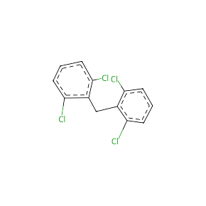 Clc1cccc(Cl)c1Cc1c(Cl)cccc1Cl